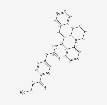 CCOC(=O)c1ccc(CC(=O)NC(CCc2ccccc2)c2ccccc2N2CCCCC2)cc1